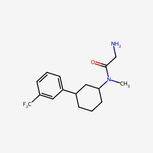 CN(C(=O)CN)C1CCCC(c2cccc(C(F)(F)F)c2)C1